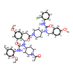 COc1ccc(CN(C(=O)Nc2ccccc2F)C2CCN(C(=O)Cc3cc(OC)ccc3CN(C(=O)Nc3cc(C)ccc3OC)C3CCN(C(C)=O)CC3)CC2)cc1